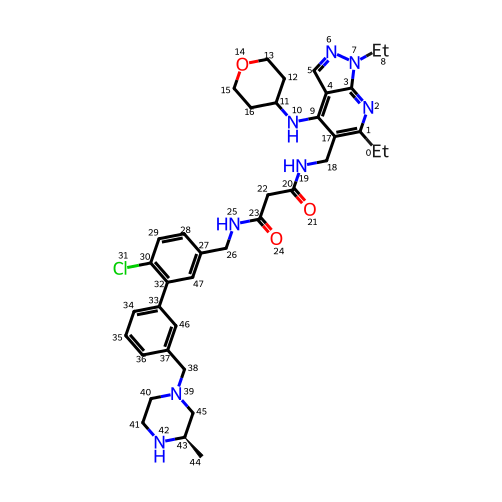 CCc1nc2c(cnn2CC)c(NC2CCOCC2)c1CNC(=O)CC(=O)NCc1ccc(Cl)c(-c2cccc(CN3CCN[C@H](C)C3)c2)c1